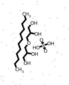 CCCCCCCCCCCC.O=S(=O)(O)O.OCC(O)COCC(O)CO